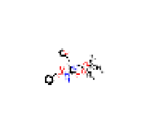 CC(C)(C)OC(=O)CN1C(=O)[C@H](NC(=O)OCc2ccccc2)[C@@H]1CCc1ccco1